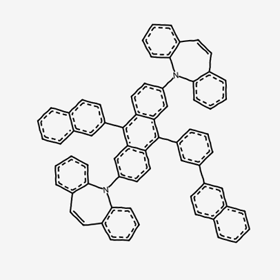 C1=Cc2ccccc2N(c2ccc3c(-c4ccc5ccccc5c4)c4cc(N5c6ccccc6C=Cc6ccccc65)ccc4c(-c4cccc(-c5ccc6ccccc6c5)c4)c3c2)c2ccccc21